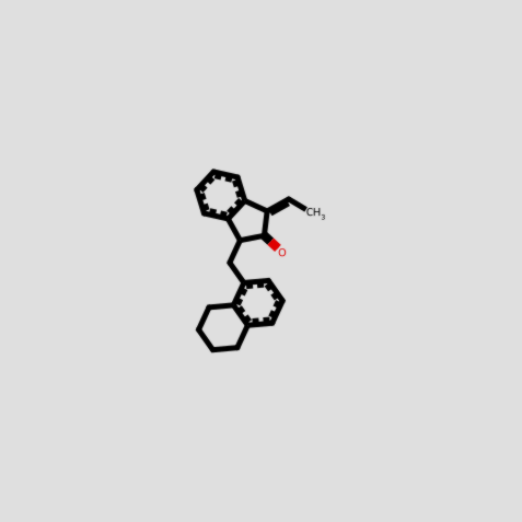 C/C=C1\C(=O)C(Cc2cccc3c2CCCC3)c2ccccc21